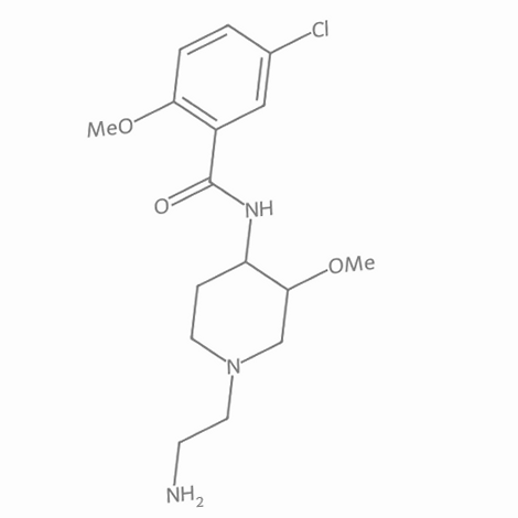 COc1ccc(Cl)cc1C(=O)NC1CCN(CCN)CC1OC